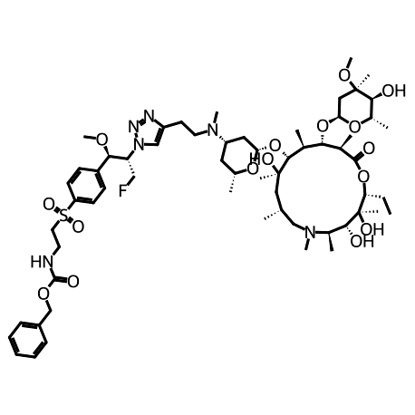 CC[C@H]1OC(=O)[C@H](C)[C@@H](O[C@H]2C[C@@](C)(OC)[C@@H](O)[C@H](C)O2)[C@H](C)[C@@H](O[C@H]2C[C@@H](N(C)CCc3cn([C@H](CF)[C@H](OC)c4ccc(S(=O)(=O)CCNC(=O)OCc5ccccc5)cc4)nn3)C[C@@H](C)O2)[C@](C)(O)C[C@@H](C)CN(C)[C@H](C)[C@@H](O)[C@]1(C)O